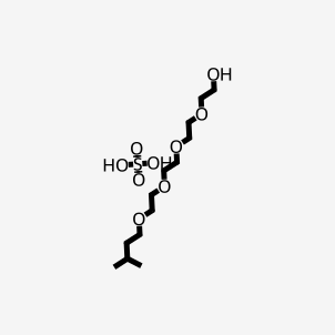 CC(C)CCOCCOCCOCCOCCO.O=S(=O)(O)O